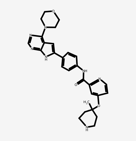 CC1(Oc2ccnc(C(=O)Nc3ccc(-c4cc5c(N6CCOCC6)ncnc5[nH]4)cc3)c2)CCNCC1